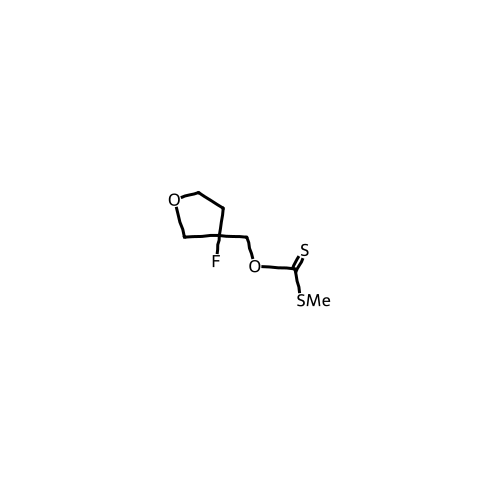 CSC(=S)OCC1(F)CCOC1